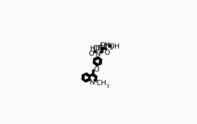 Cc1cc(COc2ccc(N(C[C@](C)(O)C(=O)NO)C(=O)C(F)(F)F)cc2)c2ccccc2n1